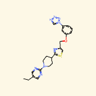 CCc1cnc(N2CCC(c3nc(COc4cccc(-n5cnnn5)c4)cs3)CC2)nc1